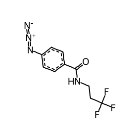 [N-]=[N+]=Nc1ccc(C(=O)NCCC(F)(F)F)cc1